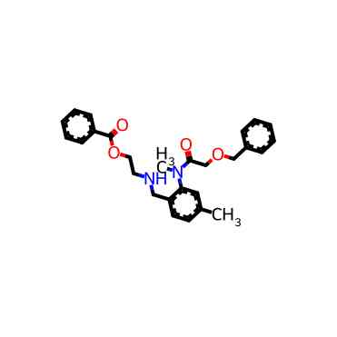 Cc1ccc(CNCCOC(=O)c2ccccc2)c(N(C)C(=O)COCc2ccccc2)c1